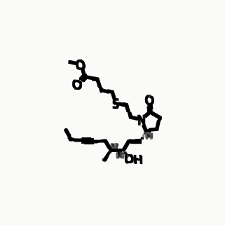 CCC#CC[C@H](C)[C@@H](O)C=C[C@H]1CCC(=O)N1CCSCCCC(=O)OC